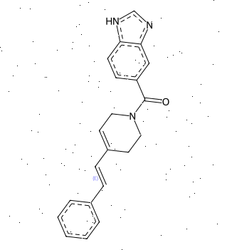 O=C(c1ccc2[nH]cnc2c1)N1CC=C(/C=C/c2ccccc2)CC1